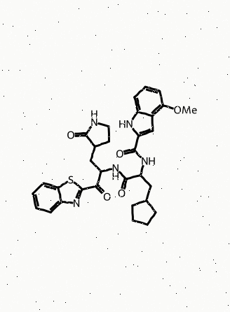 COc1cccc2[nH]c(C(=O)NC(CC3CCCC3)C(=O)NC(CC3CCNC3=O)C(=O)c3nc4ccccc4s3)cc12